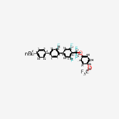 CCCCc1ccc(-c2ccc(-c3cc(F)c(C(F)(F)Oc4ccc(OC(F)(F)F)cc4)c(F)c3)c(F)c2)cc1